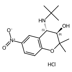 CC(C)(C)N[C@H]1c2cc([N+](=O)[O-])ccc2OC(C)(C)[C@@H]1O.Cl